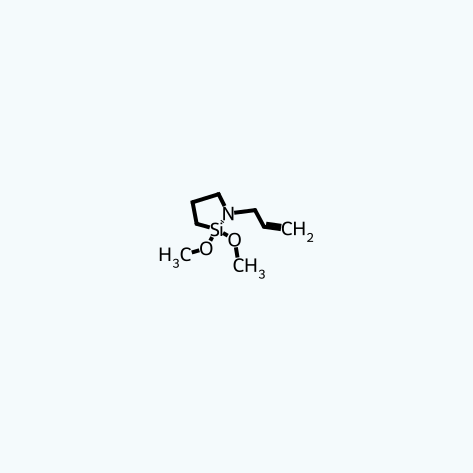 C=CCN1CCC[Si]1(OC)OC